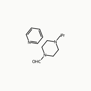 CC(C)N1CCN(C=O)CC1.c1ccncc1